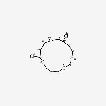 ClC1CCCCCCCCCC(Cl)CCCC1